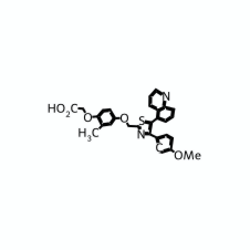 COc1ccc(-c2nc(COc3ccc(OCC(=O)O)c(C)c3)sc2-c2cccc3ncccc23)cc1